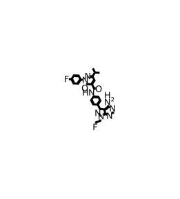 CC(C)c1cc(C(=O)Nc2ccc(-c3nn(CCF)c4ncnc(N)c34)cc2)c(=O)n(-c2ccc(F)cc2)n1